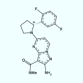 CNC(=O)c1c(N)nn2ccc(N3CCC[C@@H]3c3cc(F)ccc3F)nc12